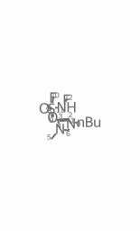 CCCCN1C=CN(C)C1.O=S(=O)(F)NF